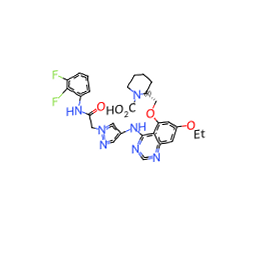 CCOc1cc(OC[C@H]2CCCCN2C(=O)O)c2c(Nc3cnn(CC(=O)Nc4cccc(F)c4F)c3)ncnc2c1